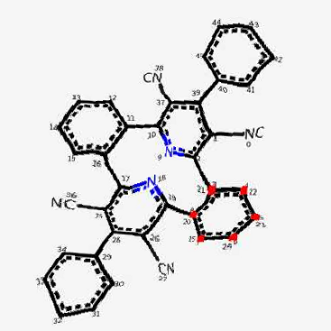 [C-]#[N+]c1c(-c2ccccc2)nc(-c2ccccc2-c2nc(-c3ccccc3)c(C#N)c(-c3ccccc3)c2C#N)c([N+]#[C-])c1-c1ccccc1